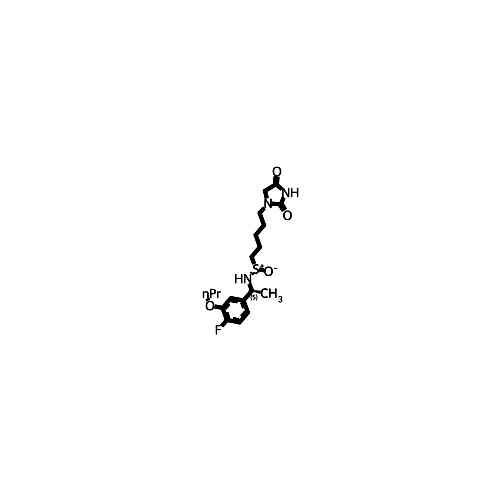 CCCOc1cc([C@H](C)N[S+]([O-])CCCCCN2CC(=O)NC2=O)ccc1F